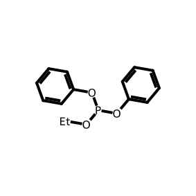 [CH2]COP(Oc1ccccc1)Oc1ccccc1